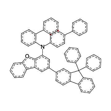 c1ccc(-c2ccc(N(c3ccccc3-c3ccccc3)c3cc(-c4ccc5c(c4)C(c4ccccc4)(c4ccccc4)c4ccccc4-5)cc4c3oc3ccccc34)cc2)cc1